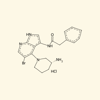 Cl.N[C@@H]1CCCN(c2c(Br)cnc3[nH]cc(NC(=O)Cc4ccccc4)c23)C1